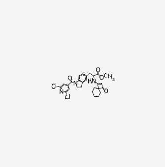 COC(=O)C(Cc1ccc2c(c1)CCN2C(=O)c1cc(Cl)nc(Cl)c1)NC1=CC(=O)C12CCCCC2